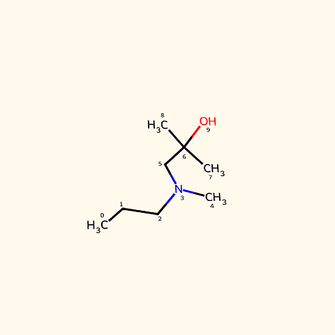 CCCN(C)CC(C)(C)O